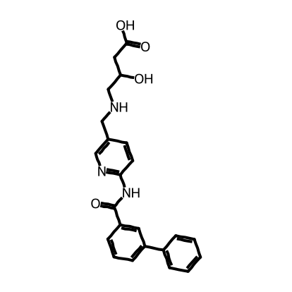 O=C(O)CC(O)CNCc1ccc(NC(=O)c2cccc(-c3ccccc3)c2)nc1